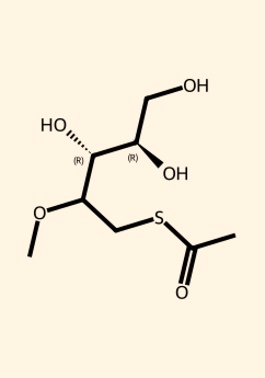 COC(CSC(C)=O)[C@H](O)[C@H](O)CO